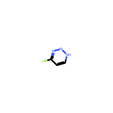 FC1=N[N]NC=C1